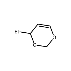 CCC1C=COCO1